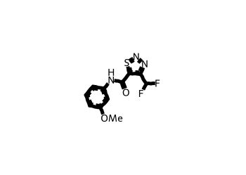 COc1cccc(NC(=O)c2snnc2C(F)F)c1